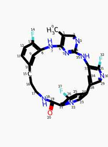 Cc1cnc2nc1Nc1cc(ccc1F)CCCNC(=O)c1ncc(cc1F)-c1cnc(F)c(c1)N2